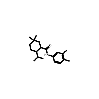 Cc1ccc(NC(=O)C2CC(C)(C)CCC2C(C)C)cc1C